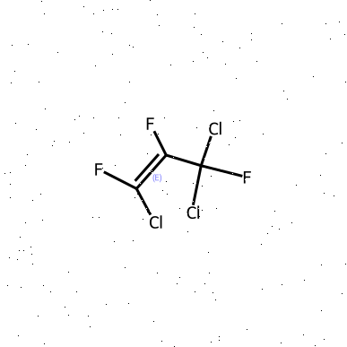 F/C(Cl)=C(\F)C(F)(Cl)Cl